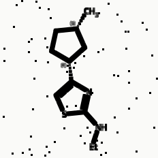 CCNc1nc([C@@H]2CC[C@H](C)C2)cs1